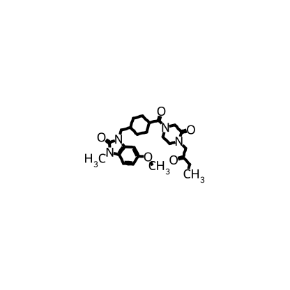 CCC(=O)CN1CCN(C(=O)C2CCC(Cn3c(=O)n(C)c4ccc(OC)cc43)CC2)CC1=O